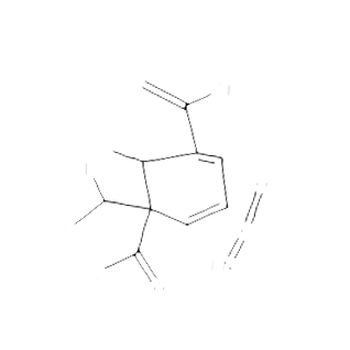 CC1C(C(=O)O)=CC=CC1(C(=O)O)C(F)F.N=C=O